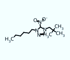 CCCCCCN1N=CN(CC(C)(C)C)C1[N+](=O)[O-]